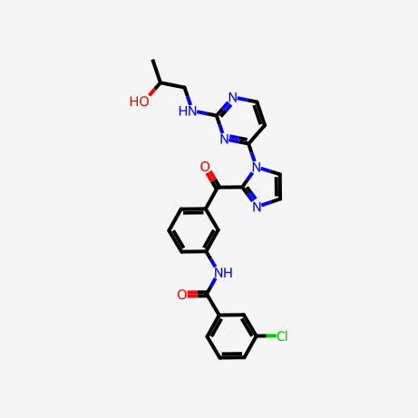 CC(O)CNc1nccc(-n2ccnc2C(=O)c2cccc(NC(=O)c3cccc(Cl)c3)c2)n1